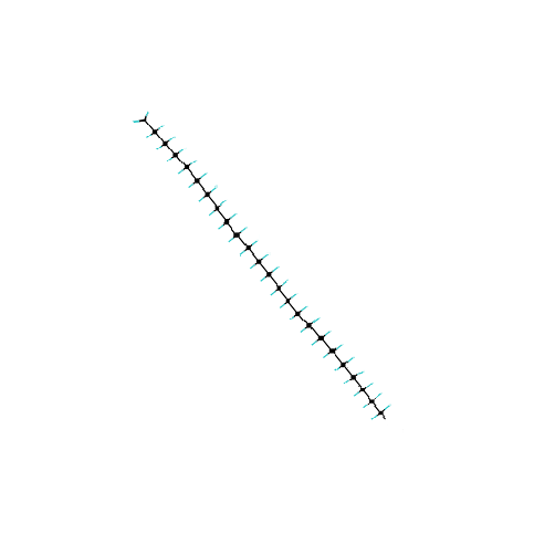 FC(F)C(F)(F)C(F)(F)C(F)(F)C(F)(F)C(F)(F)C(F)(F)C(F)(F)C(F)(F)C(F)(F)C(F)(F)C(F)(F)C(F)(F)C(F)(F)C(F)(F)C(F)(F)C(F)(F)C(F)(F)C(F)(F)C(F)(F)C(F)(F)C(F)(F)C(F)(F)C(F)(F)C(F)(F)F